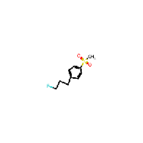 CS(=O)(=O)c1ccc(CCCF)cc1